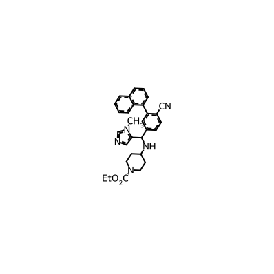 CCOC(=O)N1CCC(NC(c2ccc(C#N)c(-c3cccc4ccccc34)c2)c2cncn2C)CC1